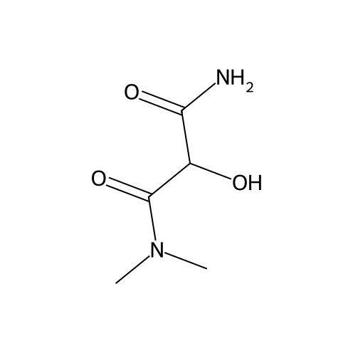 CN(C)C(=O)C(O)C(N)=O